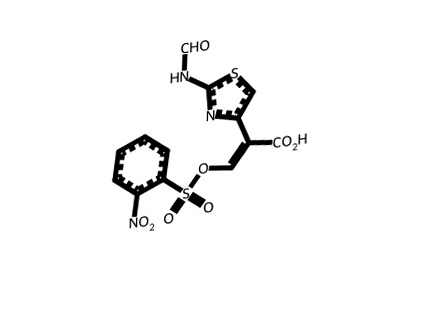 O=CNc1nc(C(=COS(=O)(=O)c2ccccc2[N+](=O)[O-])C(=O)O)cs1